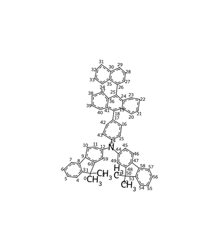 CC1(C)c2ccccc2-c2ccc(N(c3ccc(-c4c5ccccc5c(-c5cccc6ccccc56)c5ccccc45)cc3)c3ccc4c(c3)C(C)(C)c3ccccc3-4)cc21